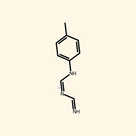 Cc1ccc(N/C=N\C=N)cc1